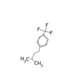 CC(C)CCc1ccc(C(F)(F)F)cc1